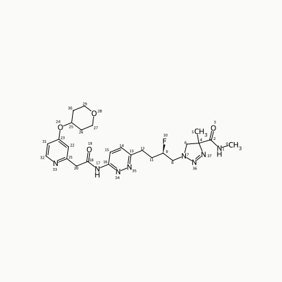 CNC(=O)C1(C)CN(C[C@H](F)CCc2ccc(NC(=O)Cc3cc(OC4CCOCC4)ccn3)nn2)N=N1